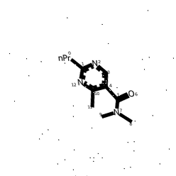 CCCc1ncc(C(=O)N(C)C)c(C)n1